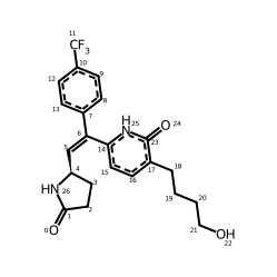 O=C1CC[C@H](C=C(c2ccc(C(F)(F)F)cc2)c2ccc(CCCCO)c(=O)[nH]2)N1